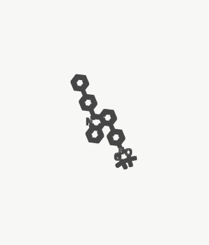 CC1(C)OB(c2ccc(-c3cccc4c(-c5ccc(-c6ccccc6)cc5)nc5ccccc5c34)cc2)OC1(C)C